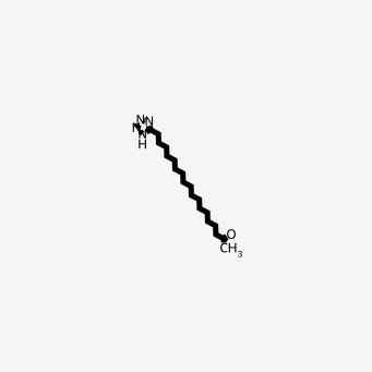 CC(=O)CCCCCCCCCCCCCCCCc1nnn[nH]1